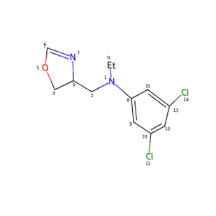 CCN(CC1CO[C]=N1)c1cc(Cl)cc(Cl)c1